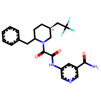 NC(=O)c1cncc(NC(=O)C(=O)N2C[C@H](CC(F)(F)F)CCC2Cc2ccccc2)c1